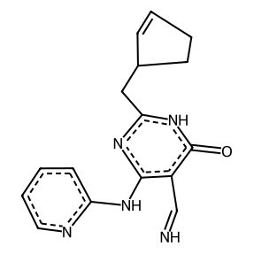 N=Cc1c(Nc2ccccn2)nc(CC2C=CCC2)[nH]c1=O